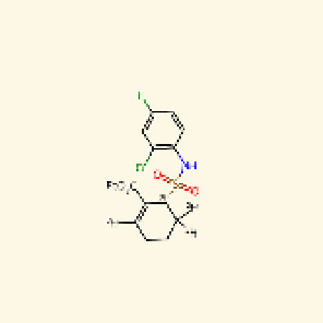 [2H]C1=C(C(=O)OCC)[C@H](S(=O)(=O)Nc2ccc(F)cc2Cl)C([2H])([2H])CC1